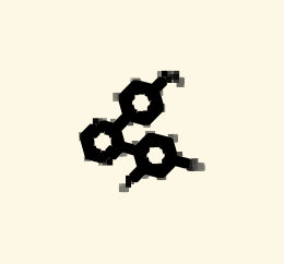 Nc1ccc(-c2nccnc2-c2ccc(Cl)cc2F)cc1